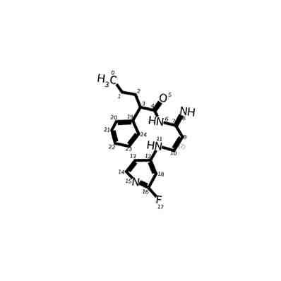 CCCC(C(=O)NC(=N)/C=C\Nc1ccnc(F)c1)c1ccccc1